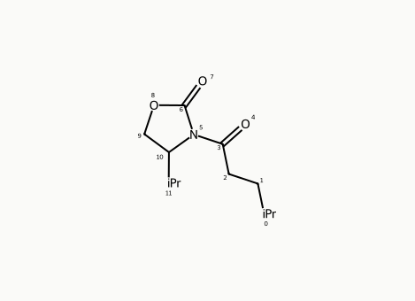 CC(C)CCC(=O)N1C(=O)OCC1C(C)C